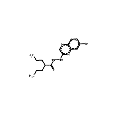 CCCC(CCC)C(=O)NNc1cnc2ccc(Br)cc2n1